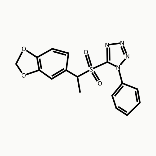 CC(c1ccc2c(c1)OCO2)S(=O)(=O)c1nnnn1-c1ccccc1